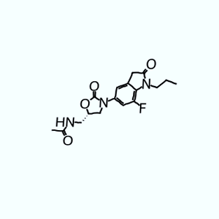 CCCN1C(=O)Cc2cc(N3C[C@H](CNC(C)=O)OC3=O)cc(F)c21